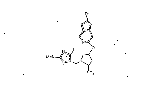 CCc1cc2cnc(OC3CC(C)N(Cc4sc(NC)nc4F)C3)cn2n1